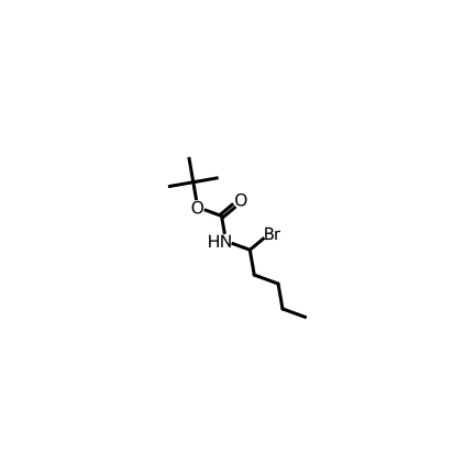 CCCCC(Br)NC(=O)OC(C)(C)C